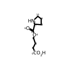 O=C(O)CCCOC(=O)C1CCCN1